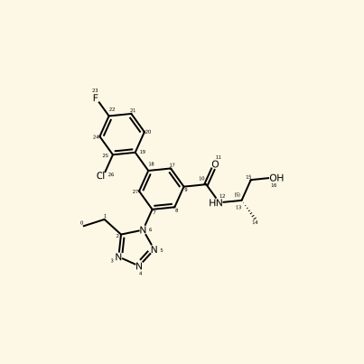 CCc1nnnn1-c1cc(C(=O)N[C@@H](C)CO)cc(-c2ccc(F)cc2Cl)c1